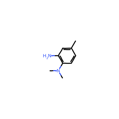 Cc1ccc(N(C)C)c(N)c1